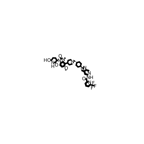 COc1ccc2c(c1C1CCN(C[C@H]3CC[C@H](n4cc5cc(NC(=O)c6cccc(C(F)(F)F)n6)ncc5n4)CC3)CC1)n(C)c(=O)n2C1CCC(O)NC1=O